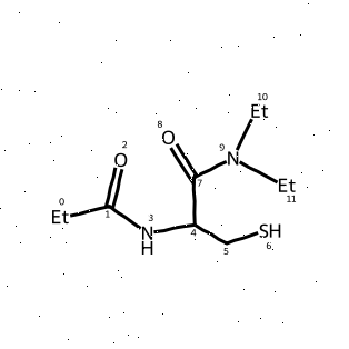 CCC(=O)NC(CS)C(=O)N(CC)CC